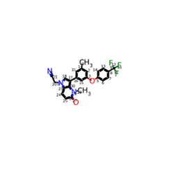 Cc1cc(Oc2ccc(C(F)(F)F)cc2)cc(-c2cn(CC#N)c3ccc(=O)n(C)c23)c1